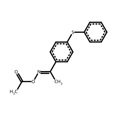 CC(=O)O/N=C(\C)c1ccc(Sc2ccccc2)cc1